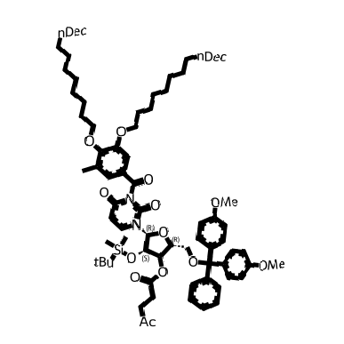 CCCCCCCCCCCCCCCCCCOc1cc(C(=O)n2c(=O)ccn([C@@H]3O[C@H](COC(c4ccccc4)(c4ccc(OC)cc4)c4ccc(OC)cc4)C(OC(=O)CCC(C)=O)[C@@H]3O[Si](C)(C)C(C)(C)C)c2=O)cc(C)c1OCCCCCCCCCCCCCCCCCC